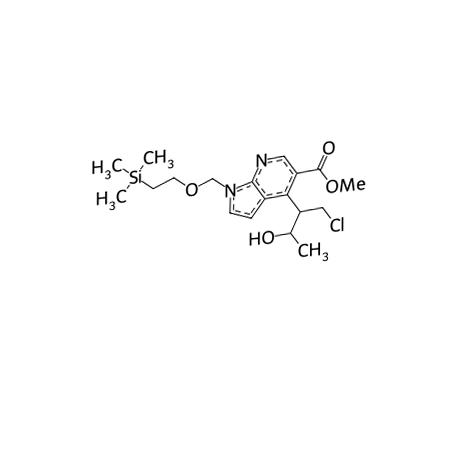 COC(=O)c1cnc2c(ccn2COCC[Si](C)(C)C)c1C(CCl)C(C)O